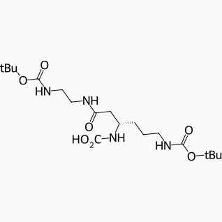 CC(C)(C)OC(=O)NCCC[C@@H](CC(=O)NCCNC(=O)OC(C)(C)C)NC(=O)O